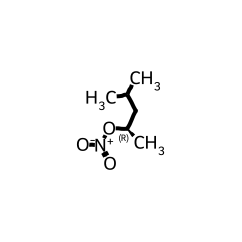 CC(C)C[C@@H](C)O[N+](=O)[O-]